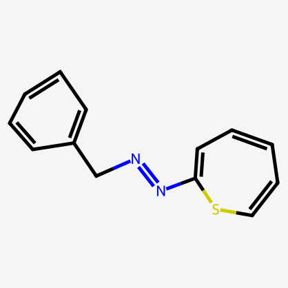 C1=CC=C(N=NCc2ccccc2)SC=C1